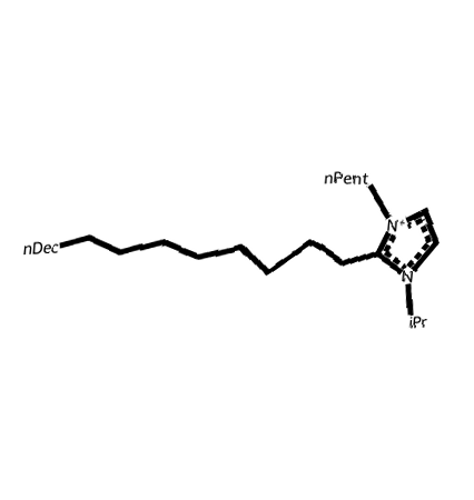 CCCCCCCCCCCCCCCCCCc1n(C(C)C)cc[n+]1CCCCC